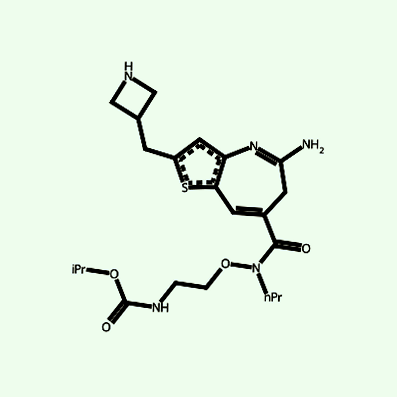 CCCN(OCCNC(=O)OC(C)C)C(=O)C1=Cc2sc(CC3CNC3)cc2N=C(N)C1